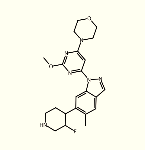 COc1nc(N2CCOCC2)cc(-n2ncc3cc(C)c(C4CCNCC4F)cc32)n1